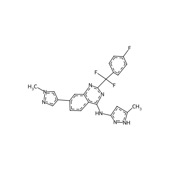 Cc1cc(Nc2nc(C(F)(F)c3ccc(F)cc3)nc3cc(-c4cnn(C)c4)ccc23)n[nH]1